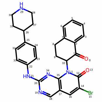 O=C1c2ccccc2CCC1n1c(=O)c(Br)cc2cnc(Nc3ccc(C4CCNCC4)cc3)nc21